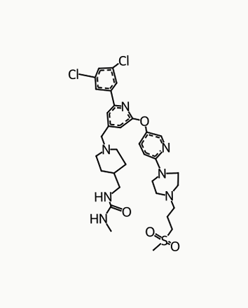 CNC(=O)NCC1CCN(Cc2cc(Oc3ccc(N4CCN(CCCS(C)(=O)=O)CC4)nc3)nc(-c3cc(Cl)cc(Cl)c3)c2)CC1